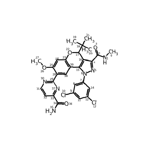 CNC(=O)c1nn(-c2cc(Cl)cc(Cl)c2)c2c1C(C(C)(C)C)Oc1cc(OC)c(-c3nccc(C(N)=O)n3)cc1-2